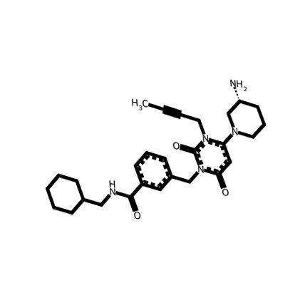 CC#CCn1c(N2CCC[C@@H](N)C2)cc(=O)n(Cc2cccc(C(=O)NCC3CCCCC3)c2)c1=O